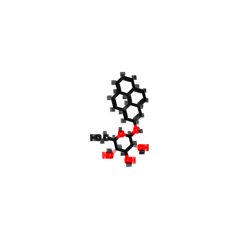 O=C(O)[C@H]1O[C@@H](Oc2cc3ccc4cccc5ccc(c2)c3c45)[C@H](O)[C@@H](O)[C@@H]1O